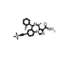 C[C@@H]1N=C(c2ccccc2F)c2cc(C#CS(C)(C)C)ccc2-n2cnc(C(N)=O)c21